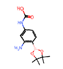 CC1(C)OB(c2ccc(NC(=O)O)cc2N)OC1(C)C